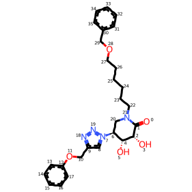 O=C1[C@H](O)[C@H](O)[C@@H](n2cc(COc3ccccc3)nn2)CN1CCCCCCOCc1ccccc1